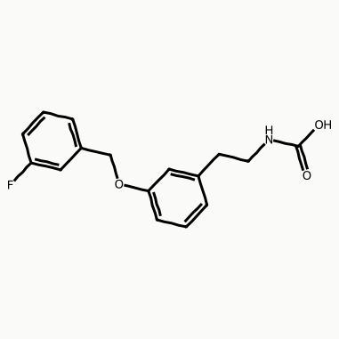 O=C(O)NCCc1cccc(OCc2cccc(F)c2)c1